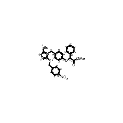 CCCCc1nnc(SCc2ccc([N+](=O)[O-])cc2)n1Cc1ccc(OC(C(=O)OC)c2ccccc2)cc1